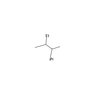 CCC(C)[C](C)C(C)C